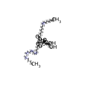 CCCCC/C=C\C/C=C\C/C=C\C/C=C\CCCC(=O)O[C@H](COC(=O)CCCCCCC/C=C\CCCCCC)COP(=O)(O)OC[C@@H](O)CO